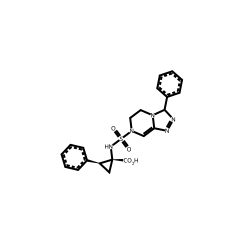 O=C(O)[C@@]1(NS(=O)(=O)N2C=C3N=NC(c4ccccc4)N3CC2)C[C@H]1c1ccccc1